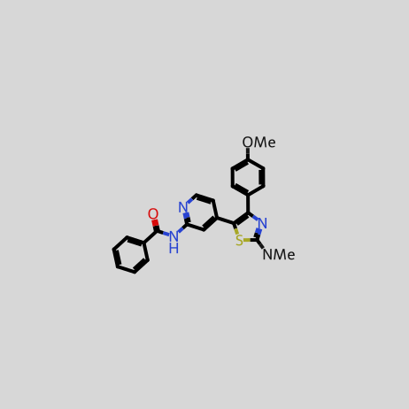 CNc1nc(-c2ccc(OC)cc2)c(-c2ccnc(NC(=O)c3ccccc3)c2)s1